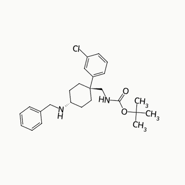 CC(C)(C)OC(=O)NC[C@]1(c2cccc(Cl)c2)CC[C@@H](NCc2ccccc2)CC1